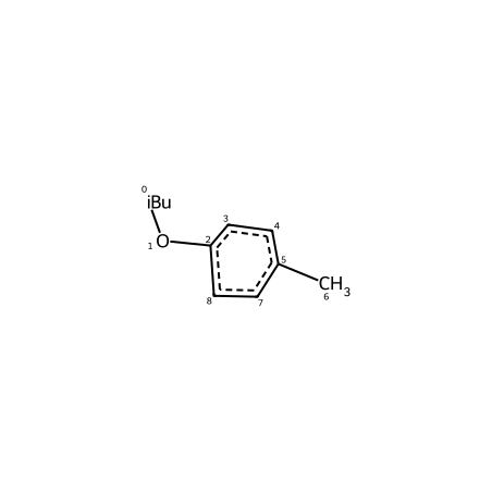 C[CH]C(C)Oc1ccc(C)cc1